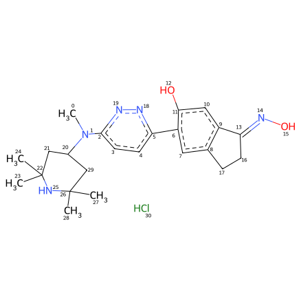 CN(c1ccc(-c2cc3c(cc2O)C(=NO)CC3)nn1)C1CC(C)(C)NC(C)(C)C1.Cl